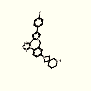 Fc1ccc(-c2cc3n(c2)Cc2cc(N4CC5(CCCNC5)C4)ccc2-n2nnnc2-3)cc1